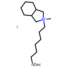 CCCCCCCCCCCCCCCC[N+]1(C)CC2CCCCC2C1.[I-]